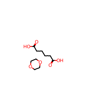 C1COCCO1.O=C(O)CCCCC(=O)O